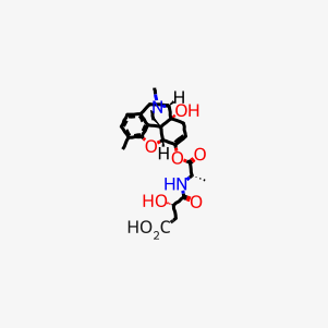 Cc1ccc2c3c1O[C@H]1C(OC(=O)[C@H](C)NC(=O)[C@@H](O)CC(=O)O)=CC[C@@]4(O)[C@@H](C2)N(C)CC[C@]314